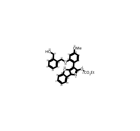 CCOC(=O)OC1=NC2C(=C1c1ccc(OC)cc1OCc1ccccc1CO)Oc1ccccc12